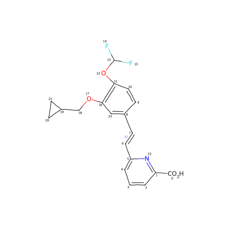 O=C(O)c1cccc(/C=C/c2ccc(OC(F)F)c(OCC3CC3)c2)n1